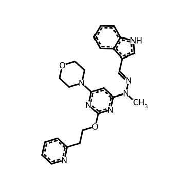 CN(/N=C/c1c[nH]c2ccccc12)c1cc(N2CCOCC2)nc(OCCc2ccccn2)n1